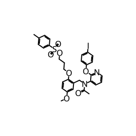 COc1ccc(OCCCOS(=O)(=O)c2ccc(C)cc2)c(CN(C(C)=O)c2cccnc2Oc2ccc(I)cc2)c1